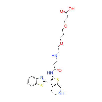 O=C(O)CCOCCCOCCNCCC(=O)Nc1sc2c(c1-c1nc3ccccc3s1)CCNC2